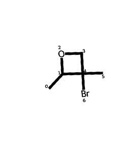 CC1OCC1(C)Br